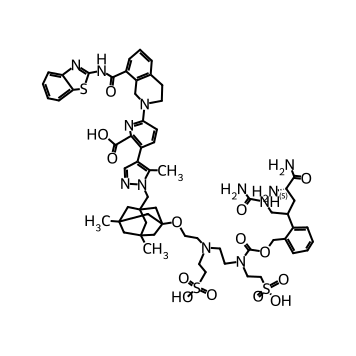 Cc1c(-c2ccc(N3CCc4cccc(C(=O)Nc5nc6ccccc6s5)c4C3)nc2C(=O)O)cnn1CC12CC3(C)CC(C)(C1)CC(OCCN(CCN(CCS(=O)(=O)O)C(=O)OCc1ccccc1C(CNC(N)=O)C[C@H](N)C(N)=O)CCS(=O)(=O)O)(C3)C2